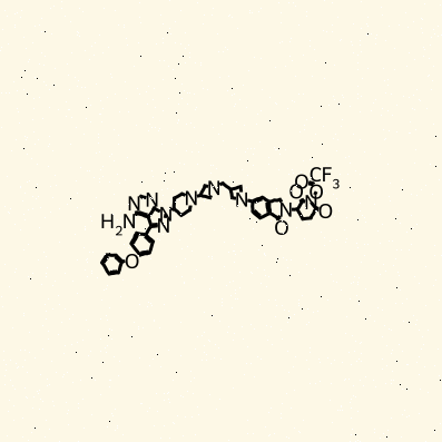 Nc1ncnc2c1c(-c1ccc(Oc3ccccc3)cc1)nn2C1CCN(C2CN(CC3CN(c4ccc5c(c4)CN(C4CCC(=O)N(OC(=O)C(F)(F)F)C4=O)C5=O)C3)C2)CC1